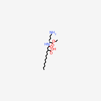 CCCCCCCCCCC(CC(=O)N[C@@H](CCCCN)C(=O)OCC)C(=O)O